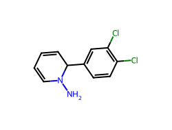 NN1C=CC=CC1c1ccc(Cl)c(Cl)c1